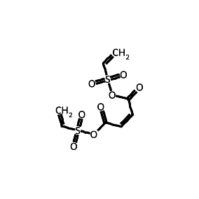 C=CS(=O)(=O)OC(=O)/C=C\C(=O)OS(=O)(=O)C=C